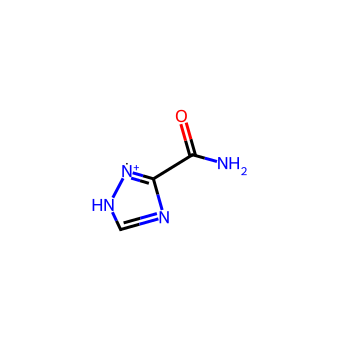 NC(=O)C1=[N+]NC=N1